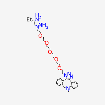 CC/C(N)=C/N(N)CCOCCOCCOCCOCCOCCn1nnc2c1-c1ccccc1CN(C)c1ccccc1-2